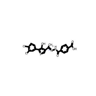 C/C(=N\NC(=O)c1ccc(C(=O)O)cc1)c1csc(-c2ccc(Cl)c(Cl)c2)c1O